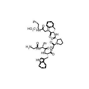 CC(C)C[C@H](NC(=O)CNC(=O)[C@H](Cc1ccccc1)NC(=O)[C@@H]1CCCN1C(=O)CNC(=O)[C@H](Cc1c[nH]c2ccccc12)NC(=O)[C@@H](NC(=O)CN)C(C)C)C(=O)O